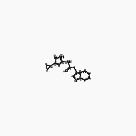 O=C(Cc1csc2ccccc12)Nc1cc(C2CC2)n[nH]1